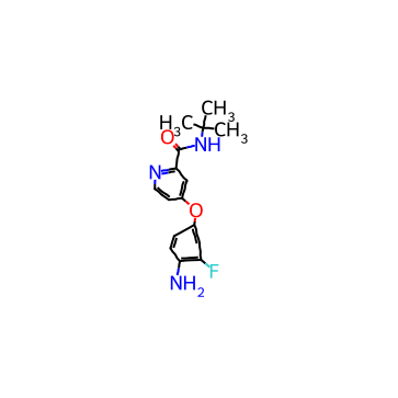 CC(C)(C)NC(=O)c1cc(Oc2ccc(N)c(F)c2)ccn1